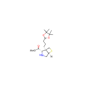 COC(=O)[C@H]1NC[C@@H]2SC[C@@]21CCCB1OC(C)(C)C(C)(C)O1